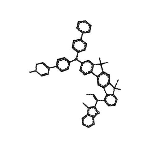 C/C=C(/c1cccc2c1-c1cc3c(cc1C2(C)C)C(C)(C)c1cc(N(c2ccc(C4=CCC(C)C=C4)cc2)c2ccc(-c4ccccc4)cc2)ccc1-3)c1oc2ccccc2c1C